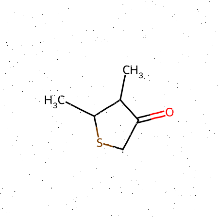 CC1S[CH]C(=O)C1C